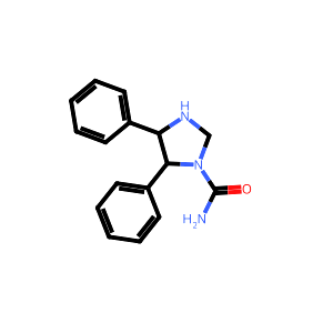 NC(=O)N1CNC(c2ccccc2)C1c1ccccc1